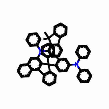 CC1(C)c2ccccc2-c2cccc(N(c3ccccc3)c3cc4ccccc4c4c3C3(c5ccccc5-c5cc(N(c6ccccc6)c6ccccc6)ccc53)c3ccccc3-4)c21